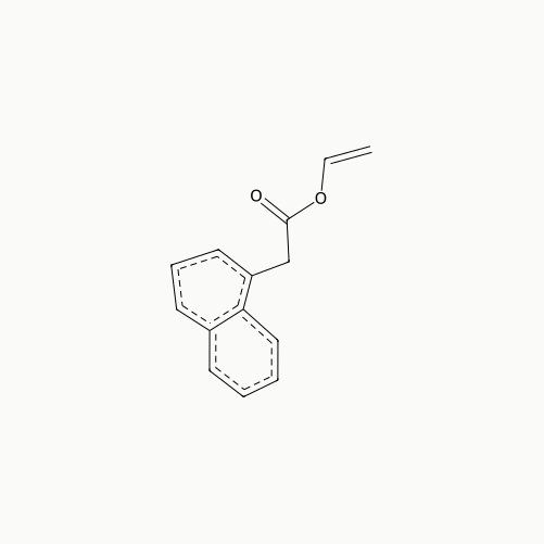 C=COC(=O)Cc1cccc2ccccc12